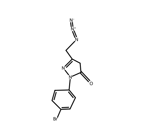 [N-]=[N+]=NCC1=NN(c2ccc(Br)cc2)C(=O)C1